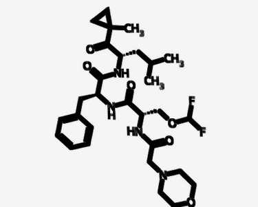 CC(C)C[C@H](NC(=O)[C@H](Cc1ccccc1)NC(=O)[C@H](COC(F)F)NC(=O)CN1CCOCC1)C(=O)C1(C)CC1